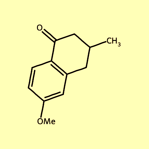 COc1ccc2c(c1)CC(C)CC2=O